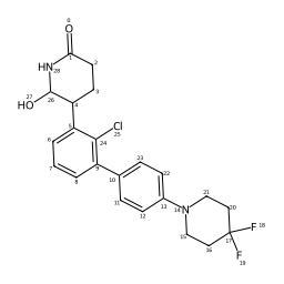 O=C1CCC(c2cccc(-c3ccc(N4CCC(F)(F)CC4)cc3)c2Cl)C(O)N1